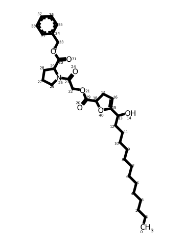 CCCCCCCCCCCCCC(O)C1=CCC(C(=O)OCC(=O)N2CCCC2C(=O)OCc2ccccc2)O1